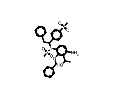 CC(O)c1c(N)ccc(N(C(Cc2ccccc2)c2ccc(S(C)(=O)=O)cc2)S(C)(=O)=O)c1OCc1ccccc1